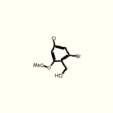 COOc1cc(Cl)cc(Br)c1CO